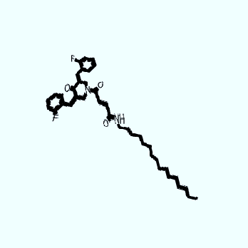 CCCCCCCCCCCCCCCCNC(=O)CCC(=O)N1CC(=Cc2ccccc2F)C(=O)C(=Cc2ccccc2F)C1